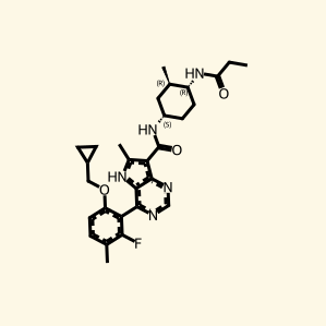 CCC(=O)N[C@@H]1CC[C@H](NC(=O)c2c(C)[nH]c3c(-c4c(OCC5CC5)ccc(C)c4F)ncnc23)C[C@H]1C